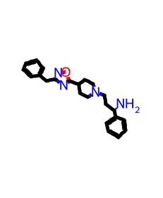 N[C@@H](CCN1CCC(c2nc(Cc3ccccc3)no2)CC1)c1ccccc1